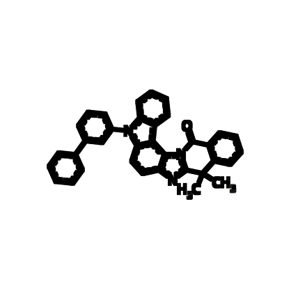 CC1(C)c2ccccc2C(=O)n2c1nc1ccc3c(c4ccccc4n3-c3cccc(-c4ccccc4)c3)c12